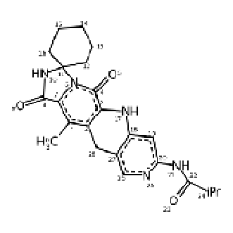 Cc1c2c(c(=O)n3c1C(=O)NC31CCCCC1)Nc1cc(NC(=O)C(C)C)ncc1C2